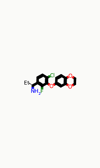 CC[C@@H](N)c1ccc(Cl)c(Oc2ccc3c(c2)OCCO3)c1F